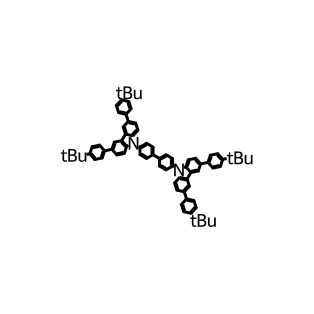 CC(C)(C)c1ccc(-c2ccc3c(c2)c2cc(-c4ccc(C(C)(C)C)cc4)ccc2n3-c2ccc(-c3ccc(-n4c5ccc(-c6ccc(C(C)(C)C)cc6)cc5c5cc(-c6ccc(C(C)(C)C)cc6)ccc54)cc3)cc2)cc1